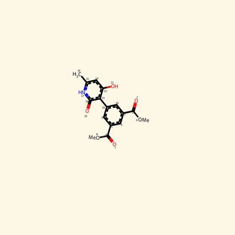 COC(=O)c1cc(C(=O)OC)cc(-c2c(O)cc(C)[nH]c2=O)c1